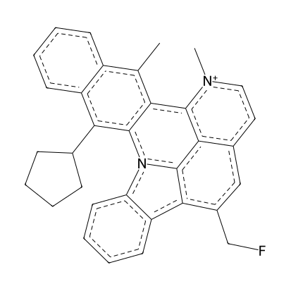 Cc1c2ccccc2c(C2CCCC2)c2c1c1c3c(cc[n+]1C)cc(CF)c1c4ccccc4n2c13